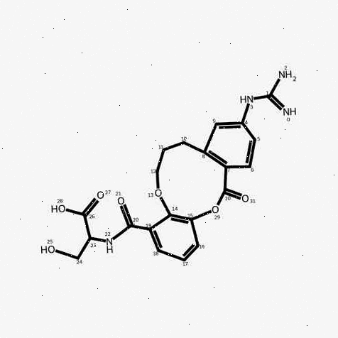 N=C(N)Nc1ccc2c(c1)CCCOc1c(cccc1C(=O)NC(CO)C(=O)O)OC2=O